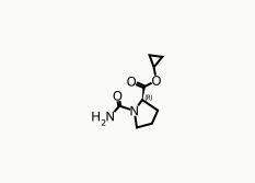 NC(=O)N1CCC[C@@H]1C(=O)OC1CC1